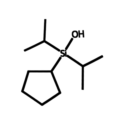 CC(C)[Si](O)(C(C)C)C1CCCC1